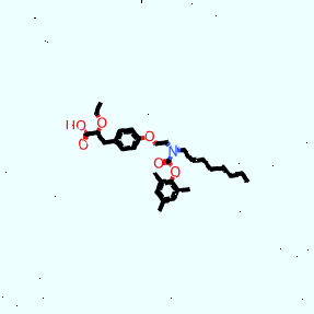 CCCCCCCCN(CCOc1ccc(CC(OCC)C(=O)O)cc1)C(=O)Oc1c(C)cc(C)cc1C